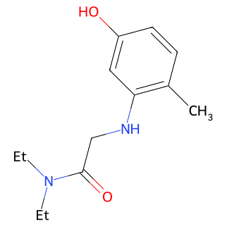 CCN(CC)C(=O)CNc1cc(O)ccc1C